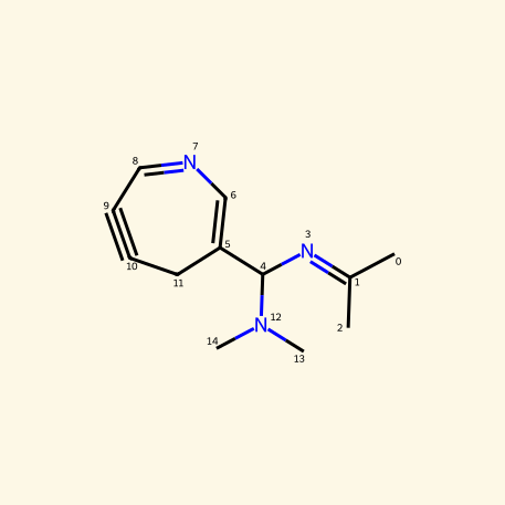 CC(C)=NC(C1=CN=CC#CC1)N(C)C